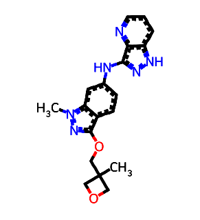 Cn1nc(OCC2(C)COC2)c2ccc(Nc3n[nH]c4cccnc34)cc21